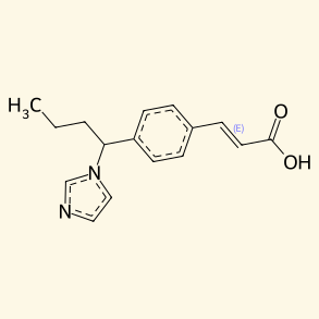 CCCC(c1ccc(/C=C/C(=O)O)cc1)n1ccnc1